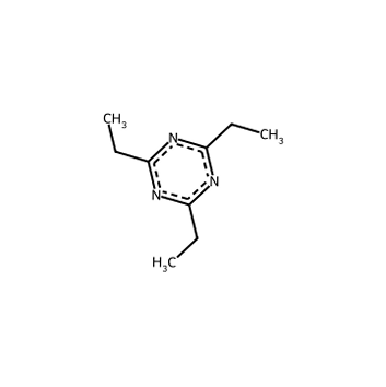 CCc1nc(CC)nc(CC)n1